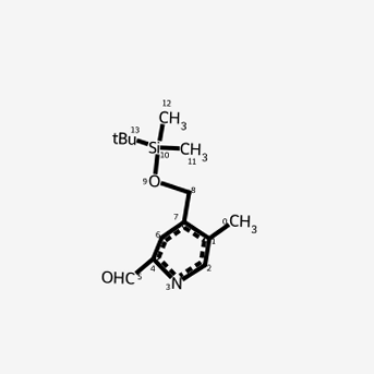 Cc1cnc(C=O)cc1CO[Si](C)(C)C(C)(C)C